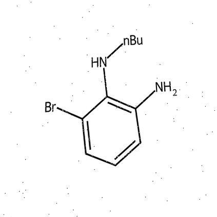 CCCCNc1c(N)cccc1Br